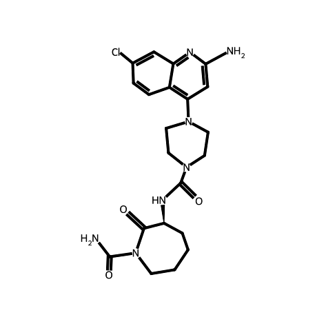 NC(=O)N1CCCC[C@H](NC(=O)N2CCN(c3cc(N)nc4cc(Cl)ccc34)CC2)C1=O